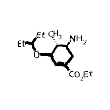 CCOC(=O)C1=CC(OC(CC)CC)[C@H](C)[C@@H](N)C1